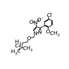 COc1ccc(Cl)cc1-c1nn(COCC[Si](C)(C)C)cc1[N+](=O)[O-]